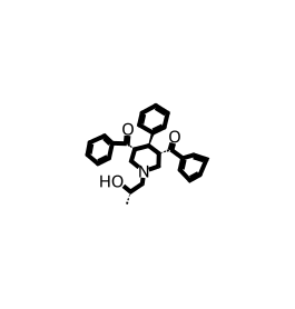 C[C@H](O)CN1C[C@H](C(=O)c2ccccc2)[C@@H](c2ccccc2)[C@H](C(=O)c2ccccc2)C1